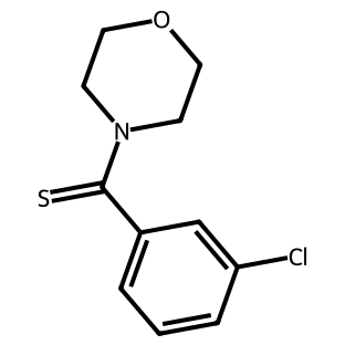 S=C(c1cccc(Cl)c1)N1CCOCC1